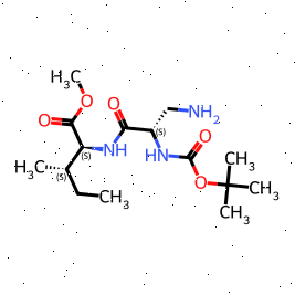 CC[C@H](C)[C@H](NC(=O)[C@H](CN)NC(=O)OC(C)(C)C)C(=O)OC